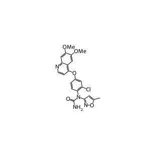 COc1cc2nccc(Oc3ccc(N(C(N)=O)c4cc(C)on4)c(Cl)c3)c2cc1OC